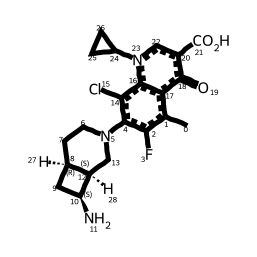 Cc1c(F)c(N2CC[C@@H]3C[C@H](N)[C@@H]3C2)c(Cl)c2c1c(=O)c(C(=O)O)cn2C1CC1